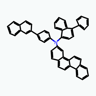 c1ccc(-c2ccc(N(c3ccc(-c4ccc5ccccc5c4)cc3)c3ccc4ccc5c6ccccc6ccc5c4c3)c3ccccc23)cc1